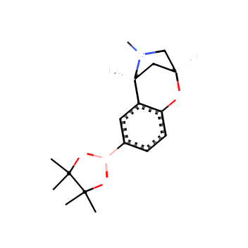 CC1(C)OB(c2ccc3c(c2)[C@@H]2C[C@@H](CN2C(=O)O)O3)OC1(C)C